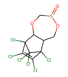 O=S1COC2C(CO1)C1(Cl)C(Cl)=C(Cl)C2(Cl)C1(Cl)Cl